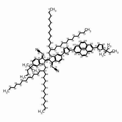 CCCCCCCCCCCCC(CCCCCCCCCCCC)CN1C(=C2\C(=N\C#N)c3ccc(C(C)(C)CCC)cc3N2CC(CCCCCCCCCCCC)CCCCCCCCCCCC)/C(=N/C#N)c2ccc(-c3ccc(-c4cc5ccc6cc(-c7ccc(C(C)(C)CC)s7)cc7ccc(c4)c5c67)s3)cc21